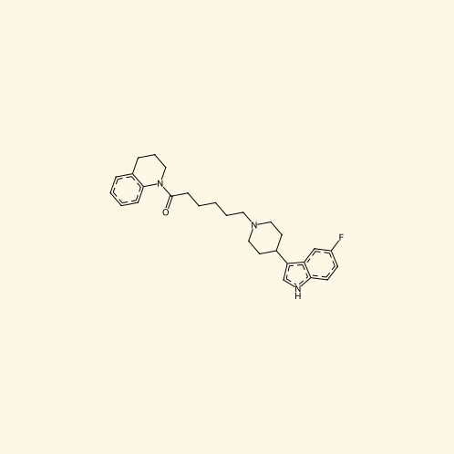 O=C(CCCCCN1CCC(c2c[nH]c3ccc(F)cc23)CC1)N1CCCc2ccccc21